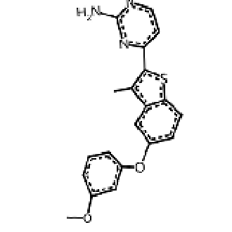 COc1cccc(Oc2ccc3sc(-c4ccnc(N)n4)c(C)c3c2)c1